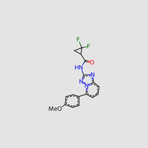 COc1ccc(-c2cccc3nc(NC(=O)C4CC4(F)F)nn23)cc1